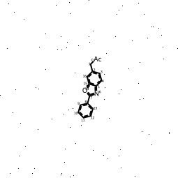 CC(=O)Cc1ccc2nc(-c3ccccc3)oc2c1